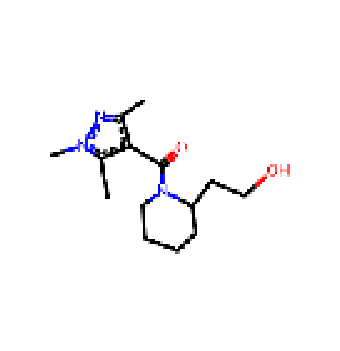 Cc1nn(C)c(C)c1C(=O)N1CCCCC1CCO